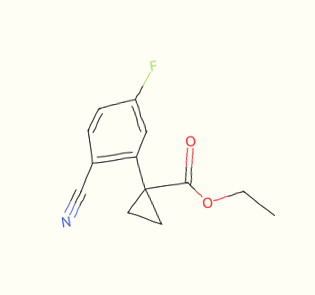 CCOC(=O)C1(c2cc(F)ccc2C#N)CC1